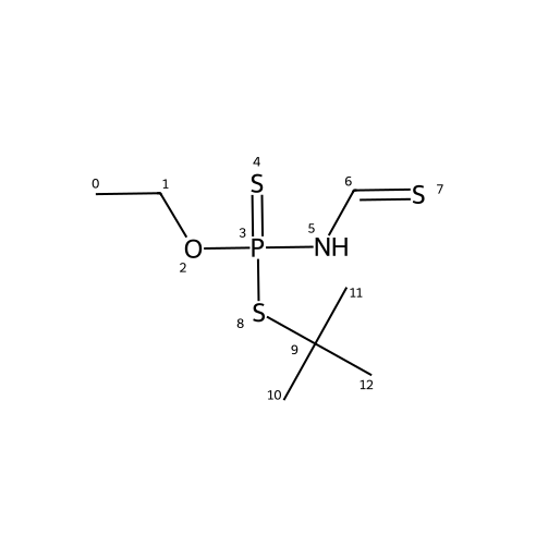 CCOP(=S)(NC=S)SC(C)(C)C